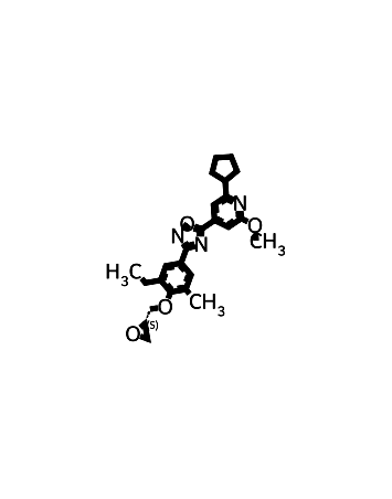 CCc1cc(-c2noc(-c3cc(OC)nc(C4CCCC4)c3)n2)cc(C)c1OC[C@@H]1CO1